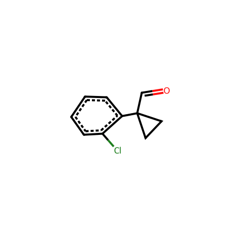 O=CC1(c2ccccc2Cl)CC1